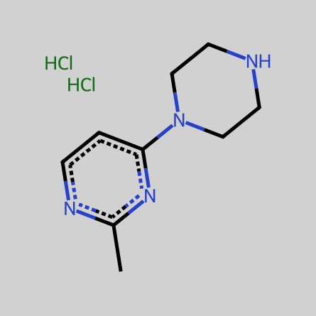 Cc1nccc(N2CCNCC2)n1.Cl.Cl